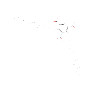 CCCCCCCCCCCc1c(C(=O)O)cc(C(=O)O)c(CCCCCCCCCCC)c1C(=O)O